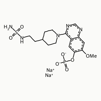 COc1cc2ncnc(N3CCC(CCNS(N)(=O)=O)CC3)c2cc1OP(=O)([O-])[O-].[Na+].[Na+]